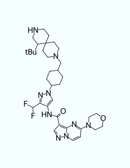 CC(C)(C)C1CNCCC12CCN(CC1CCC(n3cc(NC(=O)c4cnn5ccc(N6CCOCC6)nc45)c(C(F)F)n3)CC1)CC2